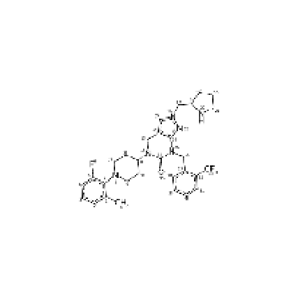 Cc1cccc(F)c1N1CCC(N2Cc3cn(CC4CCCN4)nc3N(Cc3ccccc3C(F)(F)F)C2=O)CC1